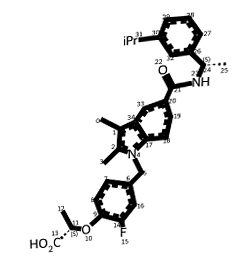 Cc1c(C)n(Cc2ccc(O[C@@H](C)C(=O)O)c(F)c2)c2ccc(C(=O)N[C@@H](C)c3cccc(C(C)C)c3)cc12